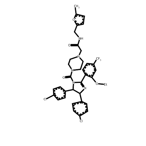 CCOc1cc(C(F)(F)F)ccc1C1=NC(c2ccc(Cl)cc2)C(c2ccc(Cl)cc2)N1C(=O)N1CCN(CC(=O)NCc2ccc(C)o2)CC1